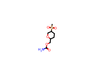 CS(=O)(=O)C1CCC(COC(N)=O)OC1